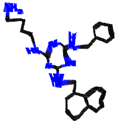 NCCCCNc1nc(NCc2ccccc2)nc(NCc2cccc3ccccc23)n1